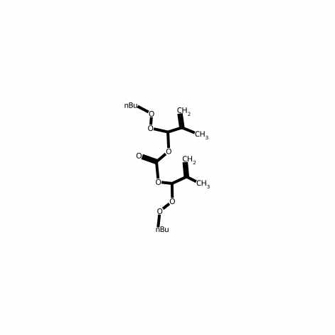 C=C(C)C(OOCCCC)OC(=O)OC(OOCCCC)C(=C)C